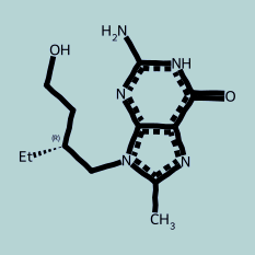 CC[C@H](CCO)Cn1c(C)nc2c(=O)[nH]c(N)nc21